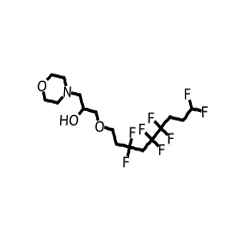 OC(COCCC(F)(F)CC(F)(F)C(F)(F)CCC(F)F)CN1CCOCC1